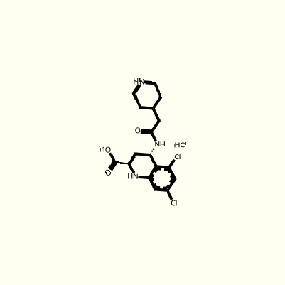 Cl.O=C(CC1CCNCC1)N[C@H]1C[C@H](C(=O)O)Nc2cc(Cl)cc(Cl)c21